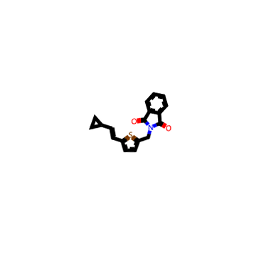 O=C1c2ccccc2C(=O)N1Cc1ccc(C=CC2CC2)s1